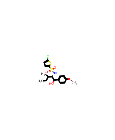 CCC(C)[C@H](NS(=O)(=O)c1ccc(Cl)s1)C(O)c1ccc(OC)cc1